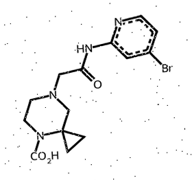 O=C(CN1CCN(C(=O)O)C2(CC2)C1)Nc1cc(Br)ccn1